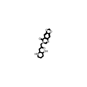 O=C(CC1NCCCC1O)Cn1cnc2cc3c(cc2c1=O)OCO3